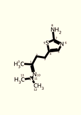 CC(CCc1cnc(N)s1)=NN(C)C